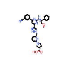 COC[C@@H](Nc1nc(-c2cccc(C#N)c2)cc(-c2cn(Cc3cccc(N4CC[C@H](C(=O)O)C4)n3)nn2)n1)c1ccccc1